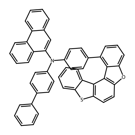 c1ccc(-c2ccc(N(c3ccc(-c4cccc5oc6ccc7sc8ccccc8c7c6c45)cc3)c3cc4ccccc4c4ccccc34)cc2)cc1